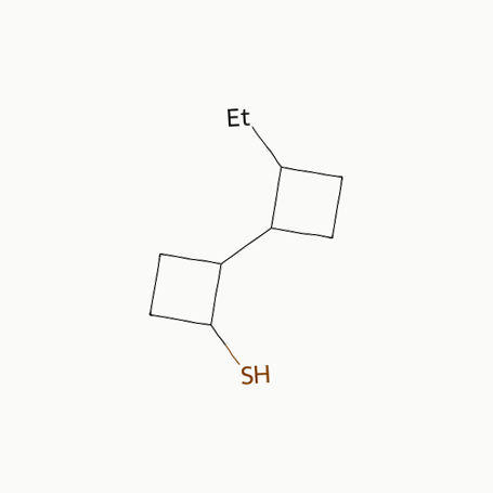 CCC1CCC1C1CCC1S